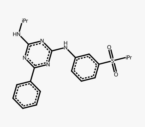 CC(C)Nc1nc(Nc2cccc(S(=O)(=O)C(C)C)c2)nc(-c2ccccc2)n1